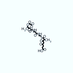 CC(C(=O)CC(=O)CCC(=O)O)C(=O)SCCNC(=O)CCNC(=O)[C@@H]1OC(=O)C(=O)OCC1(C)C